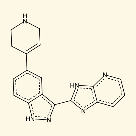 C1=C(c2ccc3[nH]nc(-c4nc5cccnc5[nH]4)c3c2)CCNC1